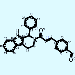 O=Cc1ccc(/C=C/C(=O)N2CCc3c([nH]c4ccccc34)C2c2ccccc2)cc1